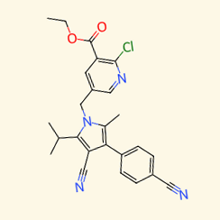 CCOC(=O)c1cc(Cn2c(C)c(-c3ccc(C#N)cc3)c(C#N)c2C(C)C)cnc1Cl